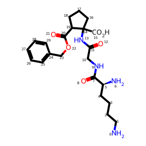 NCCCC[C@H](N)C(=O)NCC(=O)NC1(C(=O)O)CCCC1C(=O)OCc1ccccc1